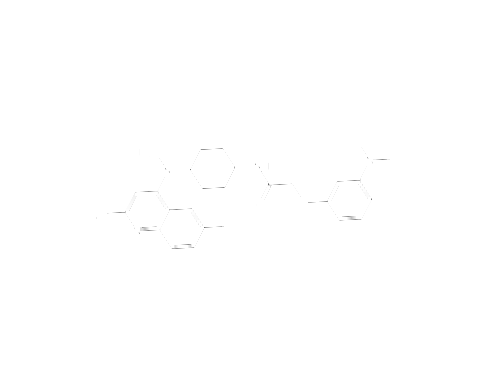 CN(C)c1cccc(OCC(=O)N[C@H]2CC[C@@H](N(C)c3cc(C(F)(F)F)nc4ccc(Cl)cc34)CC2)c1